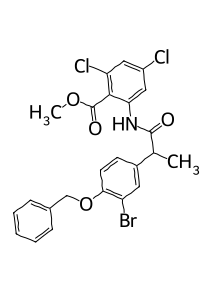 COC(=O)c1c(Cl)cc(Cl)cc1NC(=O)C(C)c1ccc(OCc2ccccc2)c(Br)c1